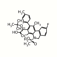 Cc1ccc(-c2c(C)c3c(c(C)c2[C@H](OC(C)(C)C)C(=O)O)N(S(C)(=O)=O)Cc2ccc(F)cc2-3)cc1